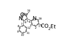 CCOC(=O)c1ccc(-c2c(-c3ccccc3)noc2C)nc1